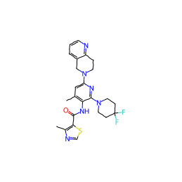 Cc1cc(N2CCc3ncccc3C2)nc(N2CCC(F)(F)CC2)c1NC(=O)c1scnc1C